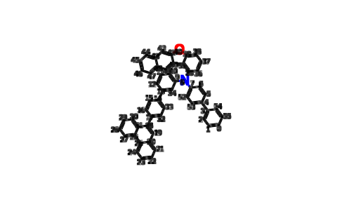 c1ccc(-c2ccc(N(c3cccc(-c4ccc(-c5cc6ccccc6c6ccccc56)cc4)c3)c3cccc4oc5cc6ccccc6cc5c34)cc2)cc1